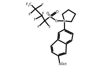 CCCCCCCCc1ccc2cc(S3(OS(=O)(=O)C(F)(F)C(F)(F)C(F)(F)C(F)(F)F)CCCC3)ccc2c1